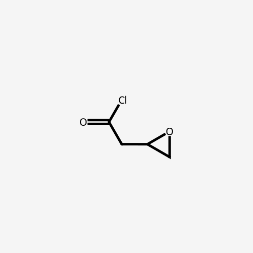 O=C(Cl)CC1CO1